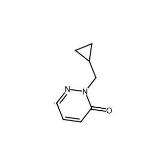 O=c1cc[c]nn1CC1CC1